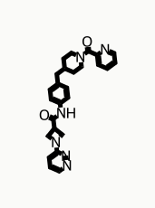 O=C(Nc1ccc(CC2CCN(C(=O)c3ccccn3)CC2)cc1)C1CN(c2cccnn2)C1